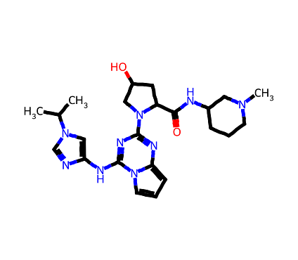 CC(C)n1cnc(Nc2nc(N3CC(O)CC3C(=O)NC3CCCN(C)C3)nc3cccn23)c1